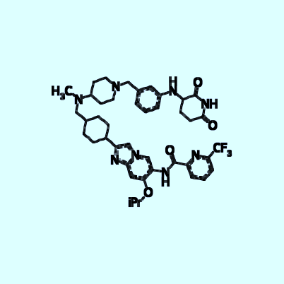 CC(C)Oc1cc2nc(C3CCC(CN(C)C4CCN(Cc5cccc(NC6CCC(=O)NC6=O)c5)CC4)CC3)cn2cc1NC(=O)c1cccc(C(F)(F)F)n1